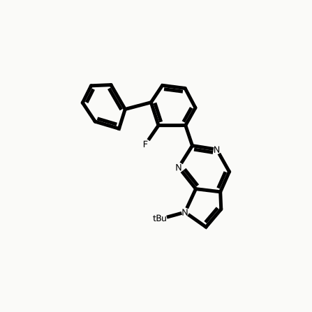 CC(C)(C)n1ccc2cnc(-c3cccc(-c4ccccc4)c3F)nc21